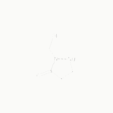 O=C1CCNN1CO